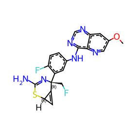 COc1cnc2c(Nc3ccc(F)c([C@@]4(CF)N=C(N)S[C@@H]5C=C54)c3)ncnc2c1